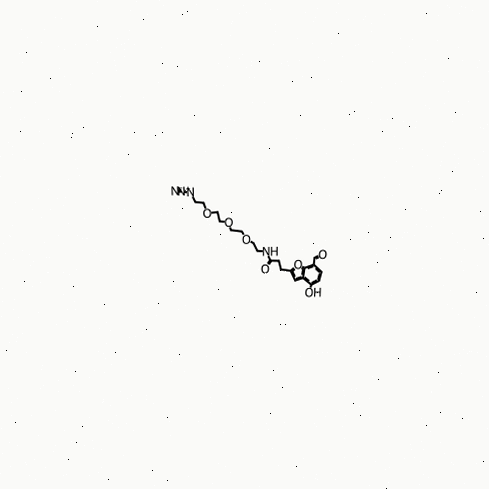 [N-]=[N+]=NCCOCCOCCOCCNC(=O)CCc1cc2c(O)ccc(C=O)c2o1